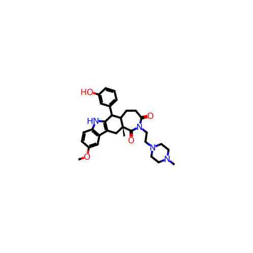 COc1ccc2[nH]c3c(c2c1)C[C@@]1(C)C(=O)N(CCN2CCN(C)CC2)C(=O)CCC1C3c1cccc(O)c1